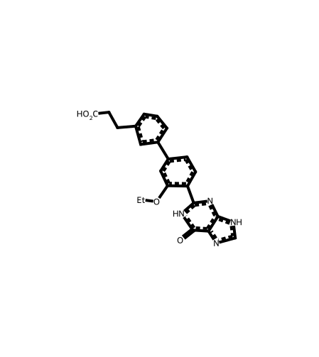 CCOc1cc(-c2cccc(CCC(=O)O)c2)ccc1-c1nc2[nH]cnc2c(=O)[nH]1